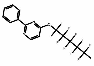 CC(F)(F)C(F)(F)C(F)(F)C(F)(F)C(F)(F)Oc1ccnc(-c2ccccc2)n1